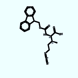 C[C@@H](CCN=[N+]=[N-])[C@@H](NC(=O)OCC1c2ccccc2-c2ccccc21)C(=O)O